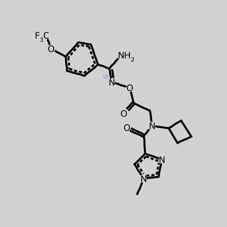 Cn1cnc(C(=O)N(CC(=O)O/N=C(\N)c2ccc(OC(F)(F)F)cc2)C2CCC2)c1